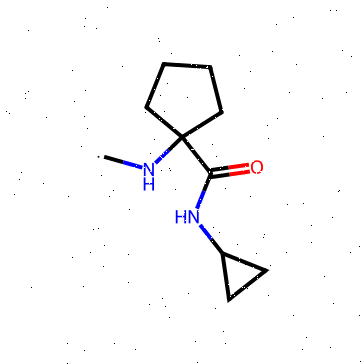 [CH2]NC1(C(=O)NC2CC2)CCCC1